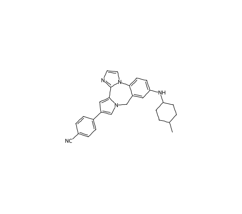 CC1CCC(Nc2ccc3c(c2)Cn2cc(-c4ccc(C#N)cc4)cc2-c2nccn2-3)CC1